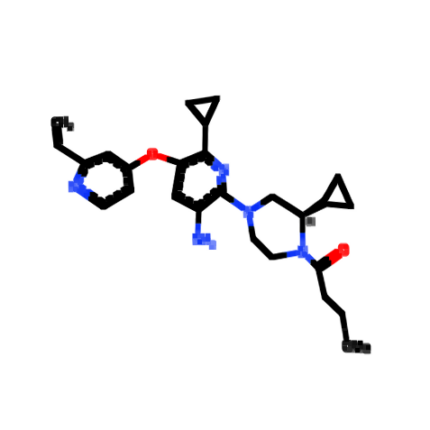 C=Cc1cc(Oc2cc(N)c(N3CCN(C(=O)CCOC)[C@H](C4CC4)C3)nc2C2CC2)ccn1